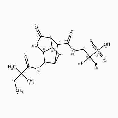 CCC(C)(C)C(=O)OC1C2CC3C1OC(=O)C3C2C(=O)OCC(F)(F)S(=O)(=O)O